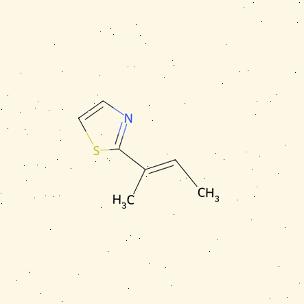 CC=C(C)c1nccs1